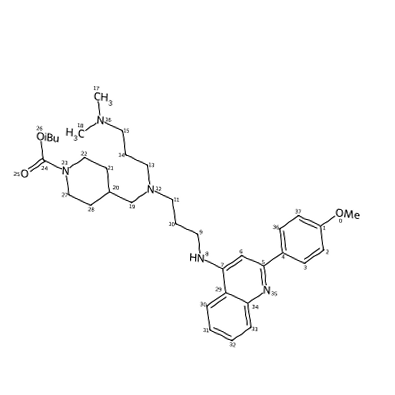 COc1ccc(-c2cc(NCCCN(CCCN(C)C)CC3CCN(C(=O)OCC(C)C)CC3)c3ccccc3n2)cc1